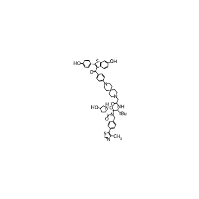 Cc1ncsc1-c1ccc(CN(C(=O)[C@@H]2C[C@@H](O)CN2)C(=O)[C@@H](NC(=O)CN2CCC3(CC2)CCN(c2ccc(C(=O)c4c(-c5ccc(O)cc5)sc5cc(O)ccc45)cc2)CC3)C(C)(C)C)cc1